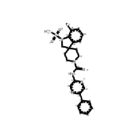 CS(=O)(=O)N1CC2(CCN(C(=O)Nc3cnc(-c4ccccc4)cn3)CC2)c2cccc(F)c21